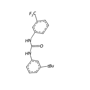 CC(C)(C)c1cccc(NC(=O)Nc2cccc(C(F)(F)F)c2)c1